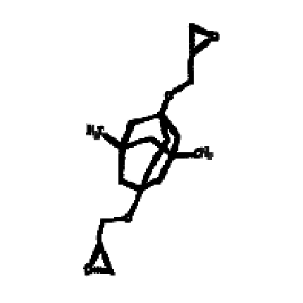 CC12CC3(C)CC(OCC4CO4)(C1)CC(OCC1CO1)(C2)C3